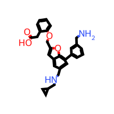 NCc1cccc(-c2cc(CNCC3CC3)cc3cc(COc4ccccc4CC(=O)O)oc23)c1